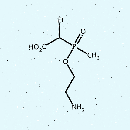 CCC(C(=O)O)P(C)(=O)OCCN